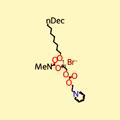 CCCCCCCCCCCCCCCCCCOC[C@H](COC(=O)OCC[n+]1ccccc1)OC(=O)NC.[Br-]